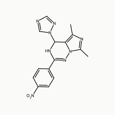 Cc1nc(C)n2c1C(n1cncn1)NC(c1ccc([N+](=O)[O-])cc1)=N2